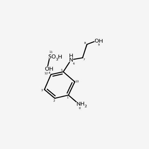 Nc1cccc(NCCO)c1.O=S(=O)(O)O